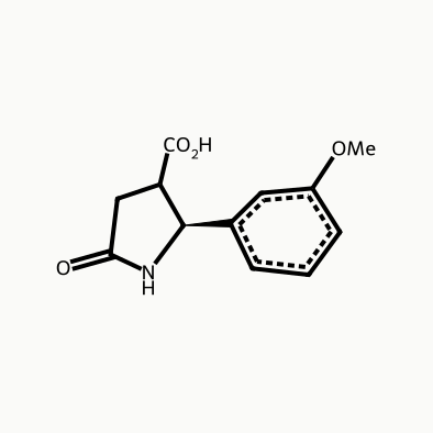 COc1cccc([C@H]2NC(=O)CC2C(=O)O)c1